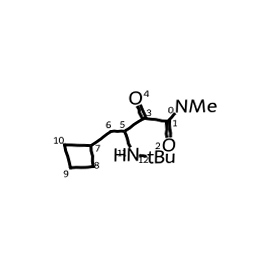 CNC(=O)C(=O)C(CC1CCC1)NC(C)(C)C